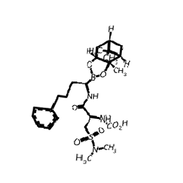 CN(C)S(=O)(=O)C[C@H](NC(=O)O)C(=O)N[C@@H](CCCc1ccccc1)B1O[C@@H]2C[C@@H]3C[C@@H](C3(C)C)[C@]2(C)O1